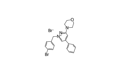 Brc1ccc(C[n+]2cc(-c3ccccc3)cc(N3CCOCC3)n2)cc1.[Br-]